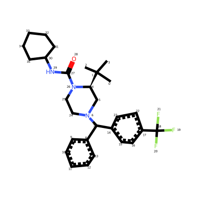 CC(C)(C)[C@H]1CN(C(c2ccccc2)c2ccc(C(F)(F)F)cc2)CCN1C(=O)NC1CCCCC1